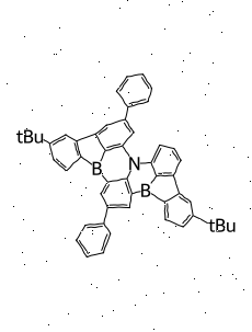 CC(C)(C)c1ccc2c(c1)-c1cccc3c1B2c1cc(-c2ccccc2)cc2c1N3c1cc(-c3ccccc3)cc3c1B2c1ccc(C(C)(C)C)cc1-3